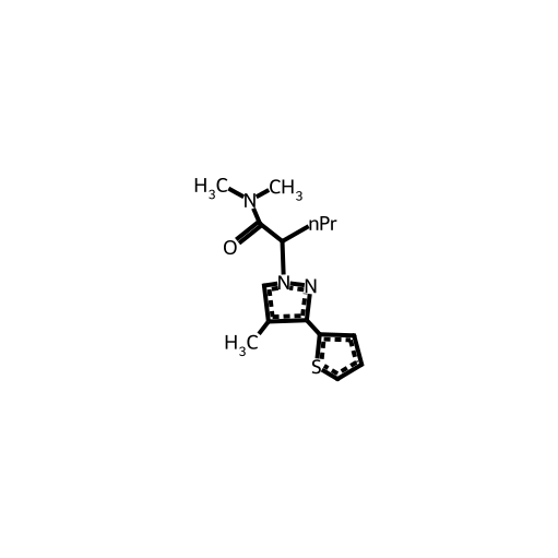 CCCC(C(=O)N(C)C)n1cc(C)c(-c2cccs2)n1